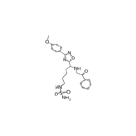 COc1ccc(-c2noc(C(CCCCNS(N)(=O)=O)NCC(=O)c3ccccc3)n2)cc1